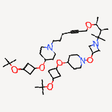 C[C@H](OCC#CCCCN1CCC(OC2CC(OC(C)(C)C)C2)CC1)[C@@H](C)C(C)(C)N1CC(ON2CCC(OC3CC(OC(C)(C)C)C3)CC2)C1